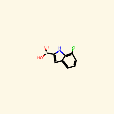 OB(O)c1cc2cccc(Cl)c2[nH]1